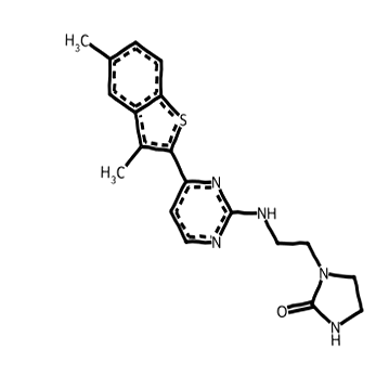 Cc1ccc2sc(-c3ccnc(NCCN4CCNC4=O)n3)c(C)c2c1